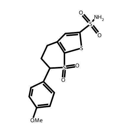 COc1ccc(C2CCc3cc(S(N)(=O)=O)sc3S2(=O)=O)cc1